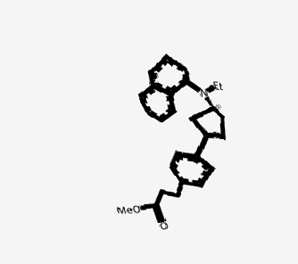 CCN(c1cccc2ccccc12)[C@H]1CCC(c2ccc(CCC(=O)OC)cc2)C1